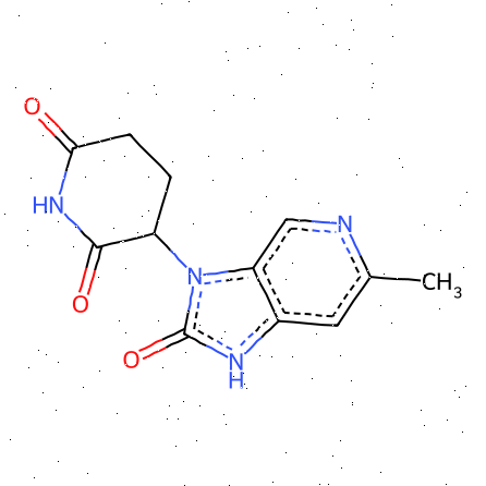 Cc1cc2[nH]c(=O)n(C3CCC(=O)NC3=O)c2cn1